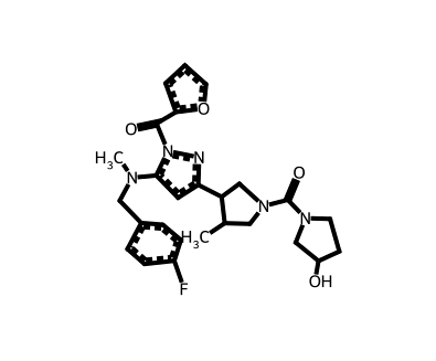 CC1CN(C(=O)N2CCC(O)C2)CC1c1cc(N(C)Cc2ccc(F)cc2)n(C(=O)c2ccco2)n1